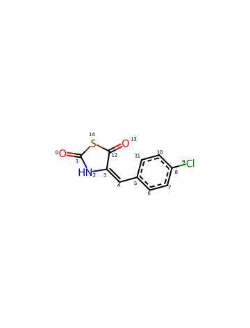 O=C1NC(=Cc2ccc(Cl)cc2)C(=O)S1